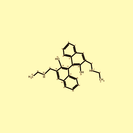 CCNCc1cc2ccccc2c(-c2c(O)c(CNCC)cc3ccccc23)c1O